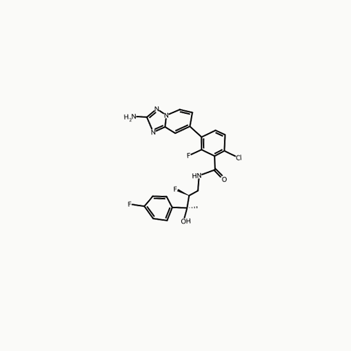 C[C@](O)(c1ccc(F)cc1)[C@@H](F)CNC(=O)c1c(Cl)ccc(-c2ccn3nc(N)nc3c2)c1F